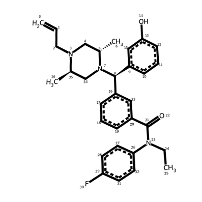 C=CCN1C[C@H](C)N([C@@H](c2cccc(O)c2)c2cccc(C(=O)N(CC)c3ccc(F)cc3)c2)C[C@H]1C